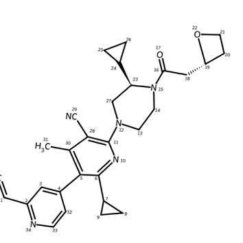 C=Cc1cc(-c2c(C3CC3)nc(N3CCN(C(=O)C[C@H]4CCO4)[C@H](C4CC4)C3)c(C#N)c2C)ccn1